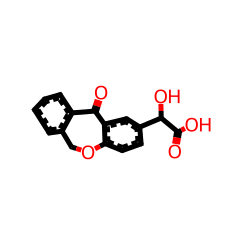 O=C1c2ccccc2COc2ccc(C(O)C(=O)O)cc21